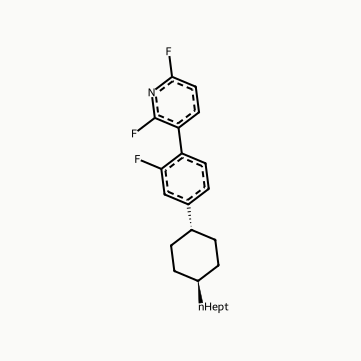 CCCCCCC[C@H]1CC[C@H](c2ccc(-c3ccc(F)nc3F)c(F)c2)CC1